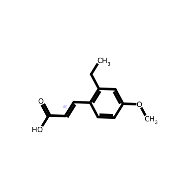 CCc1cc(OC)ccc1/C=C/C(=O)O